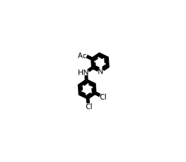 CC(=O)c1cccnc1Nc1ccc(Cl)c(Cl)c1